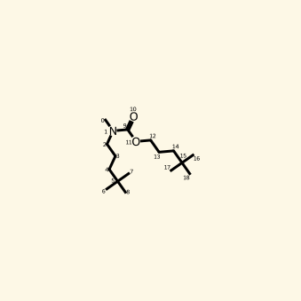 CN(CCCC(C)(C)C)C(=O)OCCCC(C)(C)C